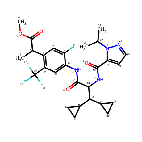 COC(=O)C(C)c1cc(F)c(NC(=O)C(NC(=O)c2ccnn2C(C)C)C(C2CC2)C2CC2)cc1C(F)(F)F